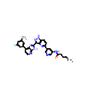 CCCCC(=O)Nc1cncc(-c2ccc3[nH]nc(-c4nc5c(-c6cc(C)cc(F)c6)ccnc5[nH]4)c3n2)c1